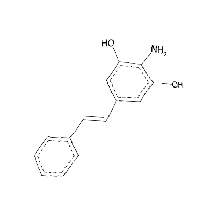 Nc1c(O)cc(C=Cc2ccccc2)cc1O